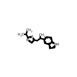 CC(C)c1ncc(CC(C)c2ccc3[nH]ccc3c2)s1